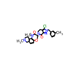 Cc1cccc(Cn2nc3c(c2Cl)CCN([C@H]2COc4ccc5c(c4N(C)C2=O)CCN(C)C5)C3=O)c1